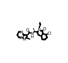 C=CCn1c([C@H](C)NC(=O)c2c(C)nn3cccnc23)cc2cccc(Cl)c2c1=O